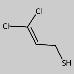 SCC=C(Cl)Cl